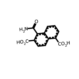 NC(=O)c1c(C(=O)O)ccc2c(C(=O)O)cccc12